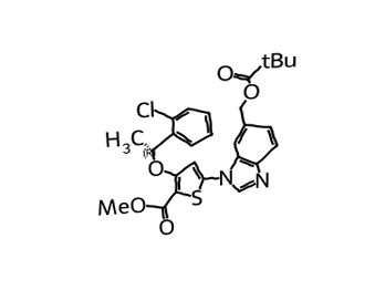 COC(=O)c1sc(-n2cnc3ccc(COC(=O)C(C)(C)C)cc32)cc1O[C@H](C)c1ccccc1Cl